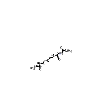 COC(=O)/C=C/C(=O)NCCOCCNC(=O)OC(C)(C)C